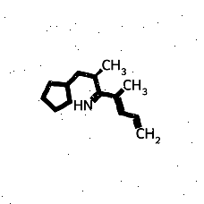 C=C/C=C(\C)C(=N)[C@H](C)CC1CCCC1